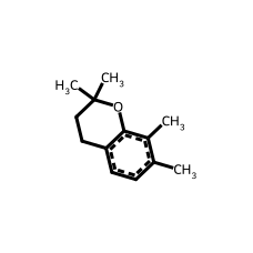 Cc1ccc2c(c1C)OC(C)(C)CC2